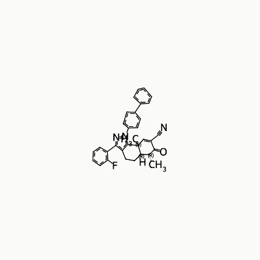 C[C@H]1C(=O)C(C#N)=C[C@@]2(C)c3c(c(-c4ccccc4F)nn3-c3ccc(-c4ccccc4)cc3)CC[C@H]12